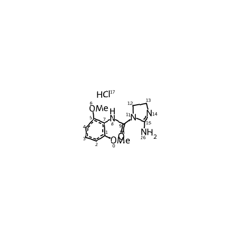 COc1cccc(OC)c1NC(=O)N1CCN=C1N.Cl